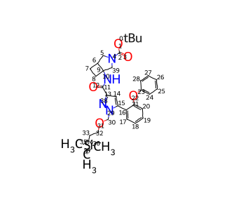 CC(C)(C)OC(=O)N1CC2CCC2(NC(=O)c2cc(-c3ccccc3Oc3ccccc3)n(COCC[Si](C)(C)C)n2)C1